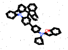 c1ccc(N(c2ccc(-c3ccc4c(c3)C3(c5ccccc5-c5ccccc53)c3cccc5c6ccccc6n-4c35)cc2)c2cc3ccccc3o2)cc1